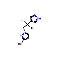 CC(C)(C)c1ccn(CC(C)(C)c2cn[nH]c2)n1